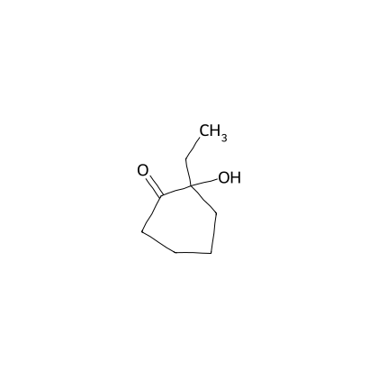 CCC1(O)CCCCC1=O